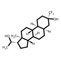 CC(O)[C@H]1CC[C@H]2[C@@H]3CC[C@@H]4C[C@@](O)(C(F)(F)F)CC[C@@H]4[C@H]3CC[C@]12C